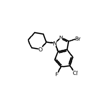 Fc1cc2c(cc1Cl)c(Br)nn2C1CCCCO1